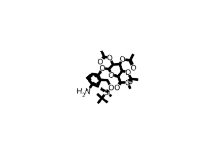 COC(=O)C1OC(Oc2ccc(N)cc2CO[Si](C)(C)C(C)(C)C)C(OC(C)=O)C(OC(C)=O)C1OC(C)=O